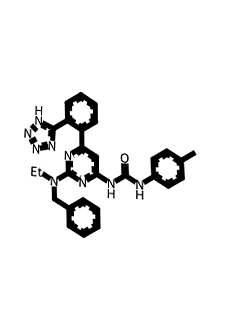 CCN(Cc1ccccc1)c1nc(NC(=O)Nc2ccc(C)cc2)cc(-c2ccccc2-c2nnn[nH]2)n1